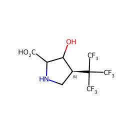 O=C(O)C1NC[C@H](C(C(F)(F)F)(C(F)(F)F)C(F)(F)F)C1O